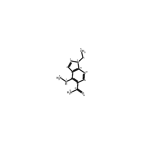 CCn1ncc2c(NN)c(C(N)=O)cnc21